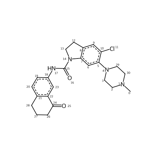 CN1CCN(c2cc3c(cc2Cl)CCN3C(=O)Nc2ccc3c(c2)C(=O)CCC3)CC1